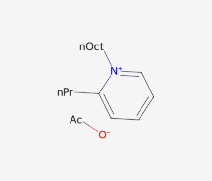 CC(=O)[O-].CCCCCCCC[n+]1ccccc1CCC